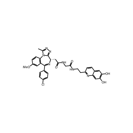 COc1ccc2c(c1)C(c1ccc(Cl)cc1)=N[C@@H](CC(=O)NCC(=O)NCCc1ccc3cc(O)c(O)cc3n1)c1nnc(C)n1-2